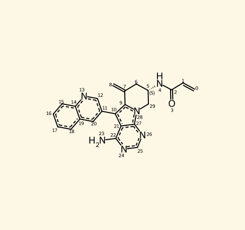 C=CC(=O)N[C@H]1CC(=C)c2c(-c3cnc4ccccc4c3)c3c(N)ncnc3n2C1